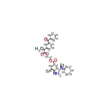 CCN(Cc1cc(C(=O)OCCOC(=O)C(C)c2cccc(C(=O)c3ccccc3)c2)cc(Br)c1N)C1CCCCCC1